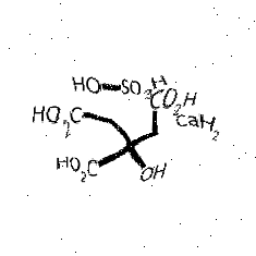 O=C(O)CC(O)(CC(=O)O)C(=O)O.O=S(=O)(O)O.[CaH2]